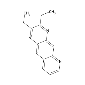 CCc1nc2cc3cccnc3cc2nc1CC